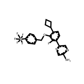 Nc1cnc(-c2ccc(C3CCC3)c(OCc3ccc(S(F)(F)(F)(F)F)cc3)c2F)cn1